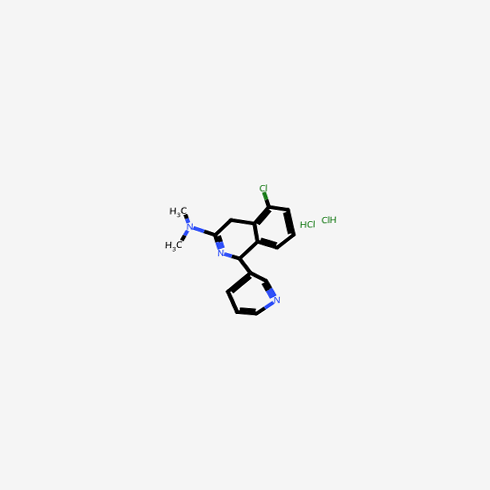 CN(C)C1=NC(c2cccnc2)c2cccc(Cl)c2C1.Cl.Cl